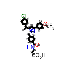 CC(c1ccc(Cl)cc1)c1cc(-c2ccc(OC(F)(F)F)cc2)nn1Cc1ccc(C(=O)NCCC(=O)O)cc1